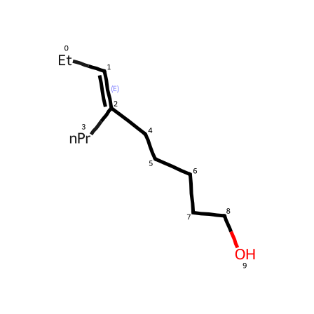 CC/C=C(\CCC)CCCCCO